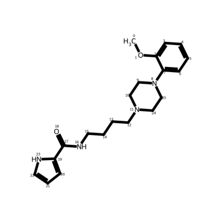 COc1ccccc1N1CCN(CCCCNC(=O)c2ccc[nH]2)CC1